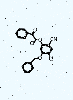 N#Cc1cc(Cl)c(OCc2ccccc2)cc1OC(Cl)C(=O)c1ccccc1